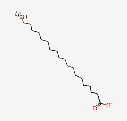 O=C([O-])CCCCCCCCCCCCCCCCCCS.[Li+]